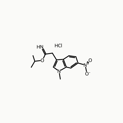 CC(C)OC(=N)Cc1cn(C)c2cc([N+](=O)[O-])ccc12.Cl